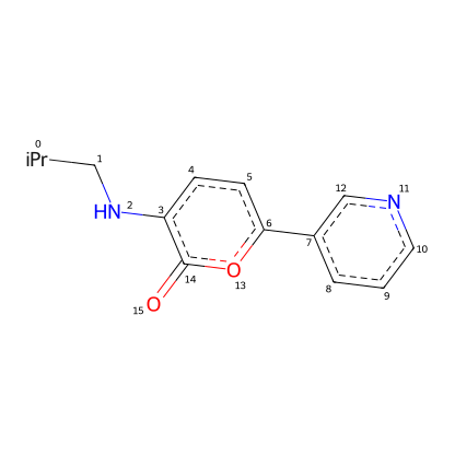 CC(C)CNc1ccc(-c2cccnc2)oc1=O